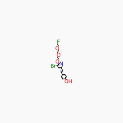 Oc1ccc(/C=C/c2cnc(OCCOCCOCCF)c(Br)c2)cc1